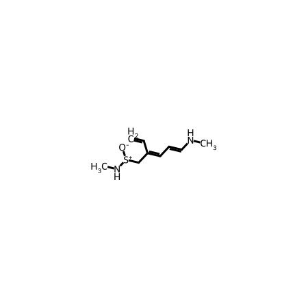 C=C/C(=C\C=C\NC)C[S+]([O-])NC